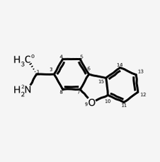 C[C@@H](N)c1ccc2c(c1)oc1ccccc12